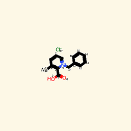 O=C(O)c1[c]([Na])ccc[n+]1Cc1ccccc1.[Cl-]